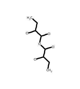 CCC(Cl)C(Cl)OC(Cl)C(Cl)CC